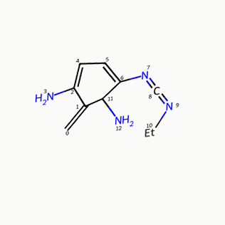 C=C1C(N)=CC=C(N=C=NCC)C1N